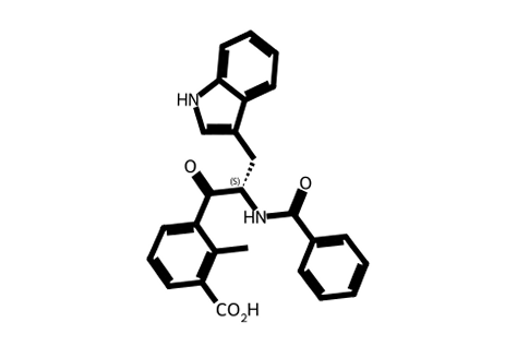 Cc1c(C(=O)O)cccc1C(=O)[C@H](Cc1c[nH]c2ccccc12)NC(=O)c1ccccc1